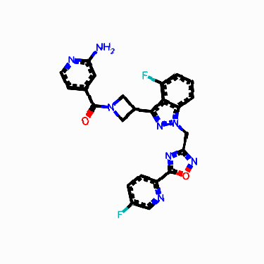 Nc1cc(C(=O)N2CC(c3nn(Cc4noc(-c5ccc(F)cn5)n4)c4cccc(F)c34)C2)ccn1